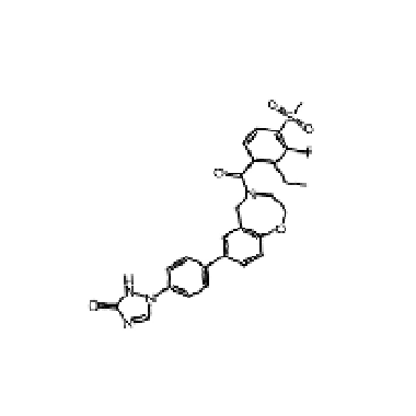 CCc1c(C(=O)N2CCOc3ccc(-c4ccc(-n5cnc(=O)[nH]5)cc4)cc3C2)ccc(S(C)(=O)=O)c1F